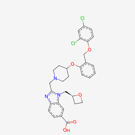 O=C(O)c1ccc2nc(CN3CCC(Oc4ccccc4COc4ccc(Cl)cc4Cl)CC3)n(C[C@@H]3CCO3)c2c1